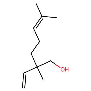 C=CC(C)(CO)CCC=C(C)C